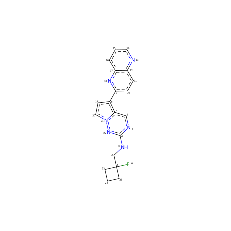 FC1(CNc2ncc3c(-c4ccc5ncccc5n4)ccn3n2)CCC1